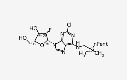 CCCCC[Si](C)(C)CNc1nc(Cl)nc2c1ncn2[C@@H]1O[C@H](CO)[C@@H](O)[C@H]1F